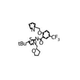 CC(C)(C)c1cn(C[C@H]2CCCO2)c(=NC(=O)c2cc(C(F)(F)F)ccc2OCc2ccccn2)s1